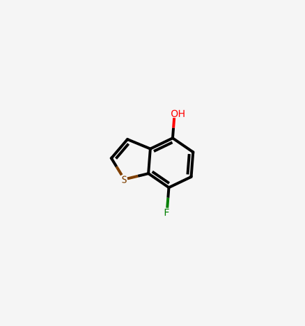 Oc1ccc(F)c2sccc12